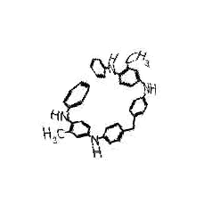 Cc1cc(Nc2ccc(Cc3ccc(Nc4ccc(Nc5ccccc5)c(C)c4)cc3)cc2)ccc1Nc1ccccc1